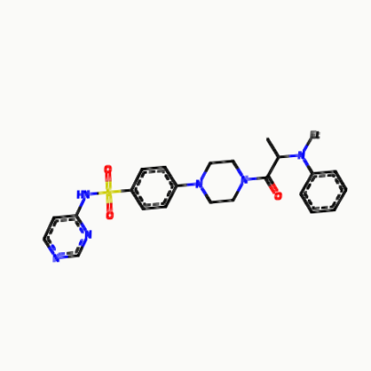 CCN(c1ccccc1)C(C)C(=O)N1CCN(c2ccc(S(=O)(=O)Nc3ccncn3)cc2)CC1